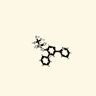 O=S(=O)(Oc1ccc(-c2ccccn2)cc1-c1ccccc1)C(F)(F)F